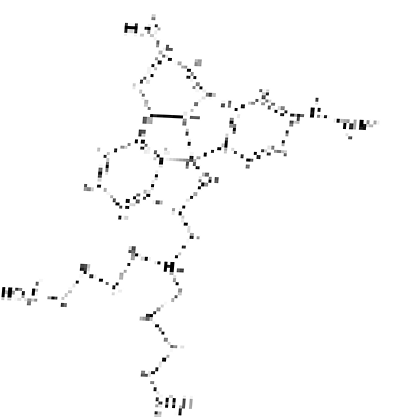 CCCCCCCCCCOc1ccc(C(OCCN(CCCCS(=O)(=O)O)CCCCS(=O)(=O)O)(c2ccccc2)c2ccc(OC)cc2)cc1